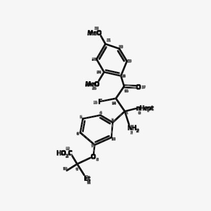 CCCCCCCC(N)(c1cccc(OC(C)(CC)C(=O)O)c1)C(F)C(=O)c1ccc(OC)cc1OC